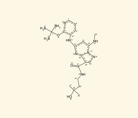 BC(B)(B)Oc1ncccc1Nc1cc(NC)n2ncc(C(=O)NCCC(C)(C)O)c2n1